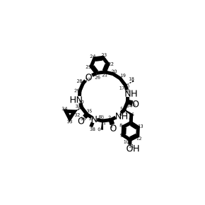 C[C@@H]1C(=O)N[C@H](Cc2ccc(O)cc2)C(=O)N[C@@H](C)CCc2ccccc2OCCN[C@@H](C2CC2)C(=O)N1C